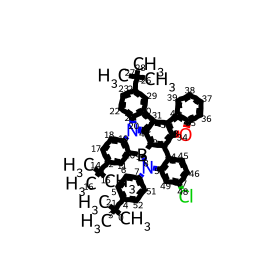 CC(C)(C)c1ccc(N2B3c4cc(C(C)(C)C)ccc4-n4c5ccc(C(C)(C)C)cc5c5c6c(oc7ccccc76)c(c3c54)-c3ccc(Cl)cc32)cc1